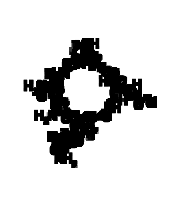 CC[C@H](C)[C@@H]1NC(=O)[C@H](Cc2ccc(O)cc2)NC(=O)[C@@H](N(C)C)CSCC(=O)N[C@@H](C(=O)NCCNC(=O)CCl)CCCNC(=O)CSC[C@@H](C(=O)N2CCC[C@H]2C(=O)N[C@@H](CC(C)C)C(=O)NCC(N)=O)NC(=O)[C@H](CC(N)=O)NC(=O)[C@H](CCC(N)=O)NC1=O